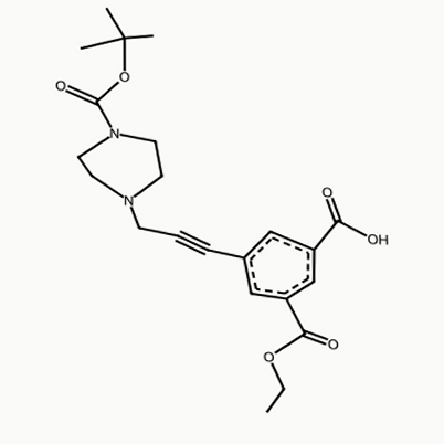 CCOC(=O)c1cc(C#CCN2CCN(C(=O)OC(C)(C)C)CC2)cc(C(=O)O)c1